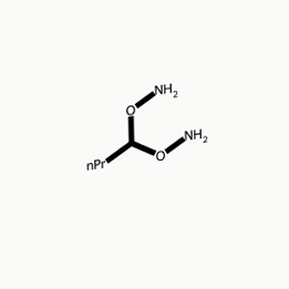 CCCC(ON)ON